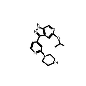 CC(C)Oc1cc2c(-c3ccnc(N4CCNCC4)c3)n[nH]c2cn1